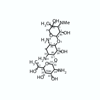 CNC1[C@@H](O)C(OC2[C@H](N)CC(N)[C@@H](O[C@H]3OC(C(C)O)[C@@H](O)[C@H](O)C3N)[C@@H]2O)OC[C@]1(C)O